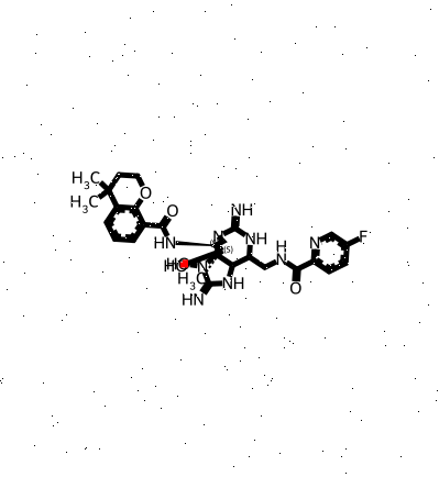 CC1(C)CCOc2c(C(=O)N[C@H]3CN4C(=N)NC(CNC(=O)c5ccc(F)cn5)C5NC(=N)N(O)C54[C@@]3(C)O)cccc21